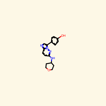 Oc1ccc(-c2cnc3ccc(NC4CCOCC4)nn23)cc1